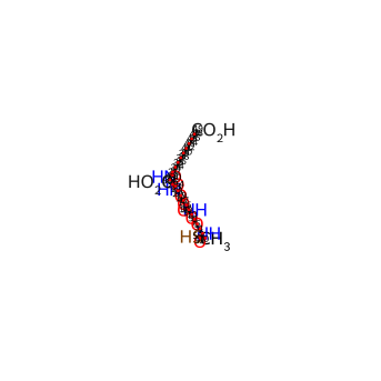 C[C@H](NCCCOCCOCCNC(=O)COCCOCCNC(=O)CC[C@H](NC(=O)CCCCCCCCCCCCCCCCCCC(=O)O)C(=O)O)C(=O)S